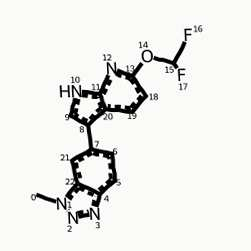 Cn1nnc2ccc(-c3c[nH]c4nc(OC(F)F)ccc34)cc21